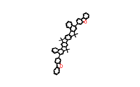 CC1(C)c2cc3c(cc2-c2cc4c(cc21)-c1c(cc(-c2ccc5c(c2)oc2ccccc25)c2ccccc12)C4(C)C)C(C)(C)c1cc(-c2ccc4c(c2)oc2ccccc24)c2ccccc2c1-3